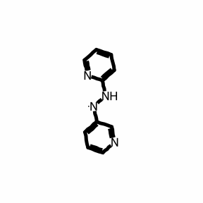 c1ccc(N[N]c2cccnc2)nc1